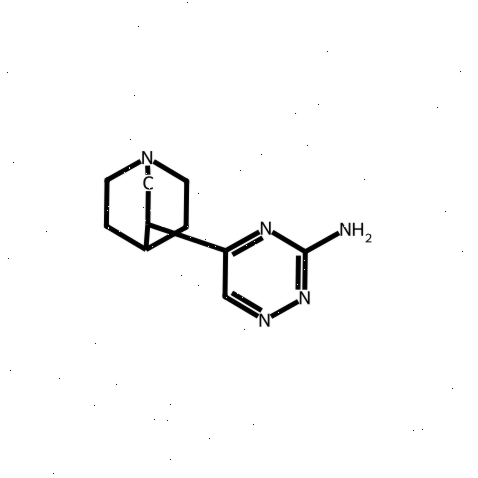 Nc1nncc(C2CN3CCC2CC3)n1